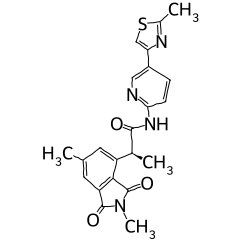 Cc1cc2c(c([C@H](C)C(=O)Nc3ccc(-c4csc(C)n4)cn3)c1)C(=O)N(C)C2=O